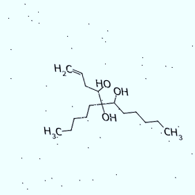 C=CCC(O)C(O)(CCCCC)C(O)CCCCC